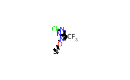 C[Si](C)(C)CCOCn1cc(C(F)(F)F)c2cnc(Cl)nc21